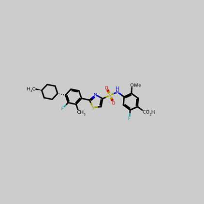 COc1cc(C(=O)O)c(F)cc1NS(=O)(=O)c1csc(-c2ccc([C@H]3CC[C@H](C)CC3)c(F)c2C)n1